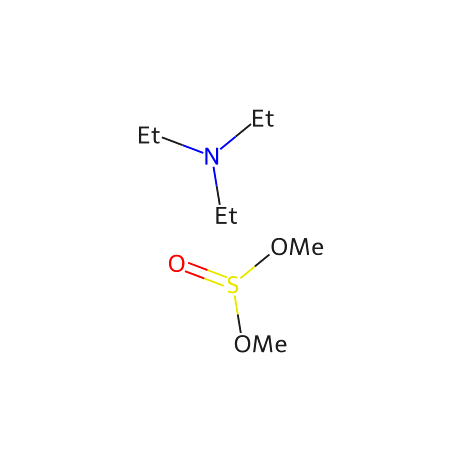 CCN(CC)CC.COS(=O)OC